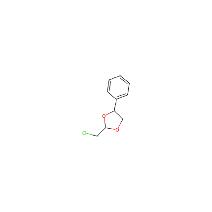 ClCC1OCC(c2ccccc2)O1